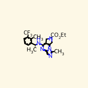 CCOC(=O)N1Cc2c(N[C@H](C)c3cccc(C(F)(F)F)c3C)nc3cnc(C)n3c2C1